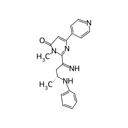 C[C@H](CC(=N)c1nc(-c2ccncc2)cc(=O)n1C)Nc1ccccc1